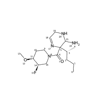 CCC[C@@H](C)C1(C(=O)N2CC[C@H](OC)[C@H](F)C2)N=CCNC1N